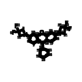 FC1(F)CN(c2ccc3c(-c4ccccc4)c4ccc(=[N+]5CC(F)(F)C5)cc-4oc3c2)C1